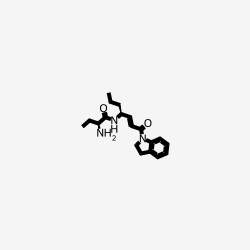 CCC[C@@H](/C=C/C(=O)N1CCc2ccccc21)NC(=O)[C@@H](N)CC